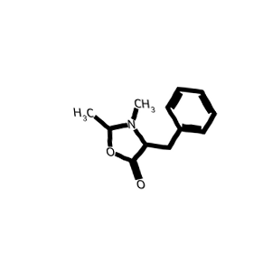 CC1OC(=O)C(Cc2ccccc2)N1C